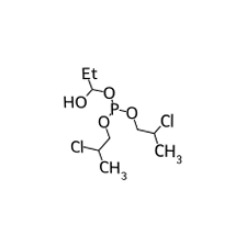 CCC(O)OP(OCC(C)Cl)OCC(C)Cl